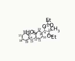 CCOC(C)C(OC(=O)CC)c1ccc(Cc2ccccc2)c(O)c1